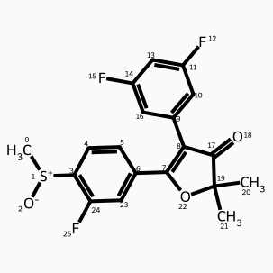 C[S+]([O-])c1ccc(C2=C(c3cc(F)cc(F)c3)C(=O)C(C)(C)O2)cc1F